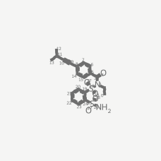 CCN(C(=O)c1ccc(C#CC(C)C)cc1)S(=O)(=O)c1ccccc1S(N)(=O)=O